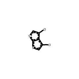 Clc1[c]sc2s[c]c(Cl)c12